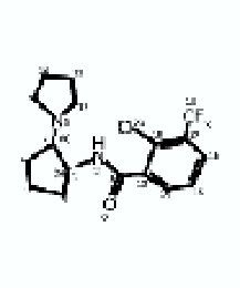 O=C(N[C@H]1CCC[C@H]1N1CCCC1)c1cccc(C(F)(F)F)c1Cl